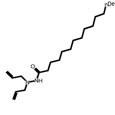 C=CCN(CC=C)NC(=O)CCCCCCCCCCCCCCCCCCCCC